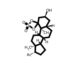 CC(=O)[C@H]1CC[C@H]2[C@H]3CC[C@H]4C[C@H](O)CC5(OS(=O)(=O)O5)[C@]4(C)[C@H]3CC[C@]12C